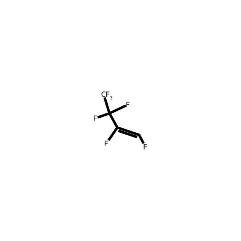 FC=C(F)C(F)(F)C(F)(F)F